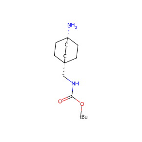 CC(C)(C)OC(=O)NC[C@]12CC[C@](N)(CC1)CC2